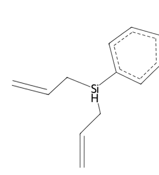 C=CC[SiH](CC=C)c1ccccc1